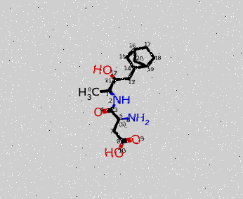 CC(NC(=O)[C@@H](N)CC(=O)O)C(O)CC1CC2CCC1C2